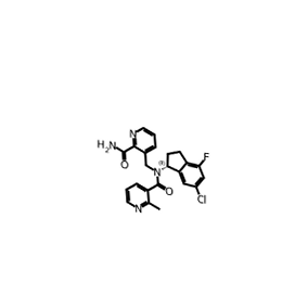 Cc1ncccc1C(=O)N(Cc1cccnc1C(N)=O)[C@@H]1CCc2c(F)cc(Cl)cc21